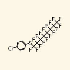 FC(F)(F)C(F)(F)C(F)(F)C(F)(F)C(F)(F)C(F)(F)C(F)(F)C(F)(F)Sc1ccc(Cl)cc1